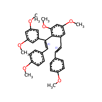 COc1ccc(/C=C/c2cc(OC)cc(OC)c2/C(=C/c2ccc(OC)cc2)c2cc(OC)cc(OC)c2)cc1